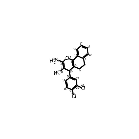 N#CC1=C(N)OC2=C(CCc3ccccc32)C1c1ccc(Cl)c(Cl)c1